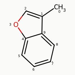 Cc1coc2cc[c]cc12